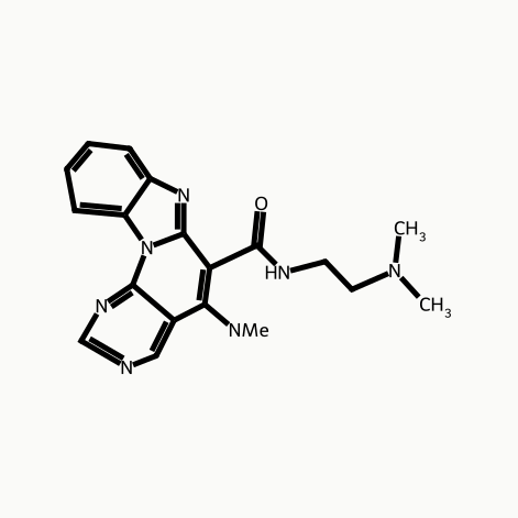 CNc1c(C(=O)NCCN(C)C)c2nc3ccccc3n2c2ncncc12